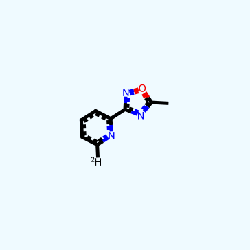 [2H]c1cccc(-c2noc(C)n2)n1